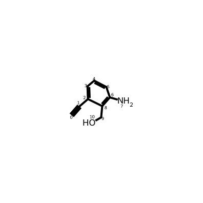 C#Cc1cccc(N)c1CO